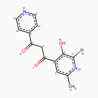 Cc1cc(C(=O)CC(=O)c2ccncc2)c(O)c(Br)n1